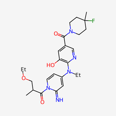 CCOCC(C)C(=O)n1ccc(N(CC)c2ncc(C(=O)N3CCC(C)(F)CC3)cc2O)cc1=N